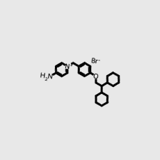 Nc1cc[n+](Cc2ccc(OCC(C3CCCCC3)C3CCCCC3)cc2)cc1.[Br-]